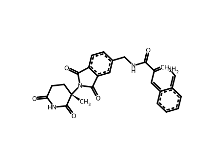 C=C(/C=c1/cccc/c1=C/N)C(=O)NCc1ccc2c(c1)C(=O)N([C@@]1(C)CCC(=O)NC1=O)C2=O